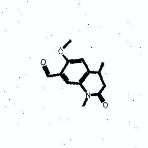 COc1cc2c(cc1C=O)N(C)C(=O)CC2C